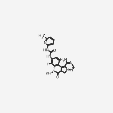 CCCNC(=O)C1CN2N=CN=C(N)C2=C1c1ccc(NC(=O)Nc2cccc(C)n2)c(F)c1